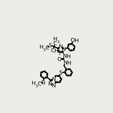 COc1ccccc1-c1nnc2ccc(Sc3ccccc3CNC(=O)Nc3cc(C(C)(C)SC)nn3-c3cccc(O)c3)cn12